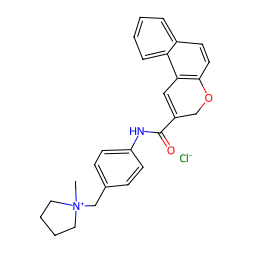 C[N+]1(Cc2ccc(NC(=O)C3=Cc4c(ccc5ccccc45)OC3)cc2)CCCC1.[Cl-]